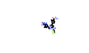 CNC(=O)c1ccc(-c2cc(N(C)CCC(F)(F)F)c3ncc(-c4ccc(C(=O)NC)c(C)c4)n3c2)cc1C